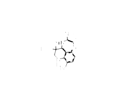 CC1(C)CNc2c(Br)ccc3c2=C1NC([N+](=O)[O-])=CN=3